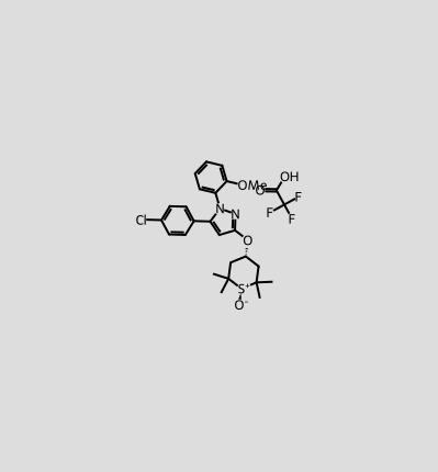 COc1ccccc1-n1nc(O[C@H]2CC(C)(C)[S@+]([O-])C(C)(C)C2)cc1-c1ccc(Cl)cc1.O=C(O)C(F)(F)F